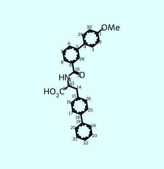 COc1ccc(-c2cccc(C(=O)N[C@@H](Cc3ccc(-c4ccccc4)cc3)C(=O)O)c2)cc1